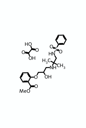 COC(=O)c1ccccc1OCC(O)CNC(C)(C)CNS(=O)(=O)c1ccccc1.O=C(O)C(=O)O